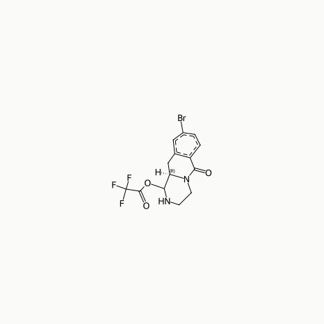 O=C1c2ccc(Br)cc2C[C@@H]2C(OC(=O)C(F)(F)F)NCCN12